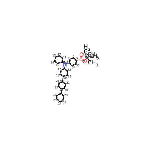 CC1(C)OB(c2ccc(N(c3ccccc3)c3ccc(-c4ccc(-c5ccccc5)cc4)cc3)cc2)OC1(C)C